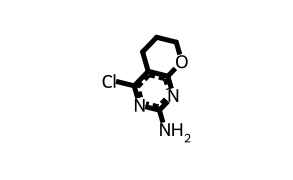 Nc1nc(Cl)c2c(n1)OCCC2